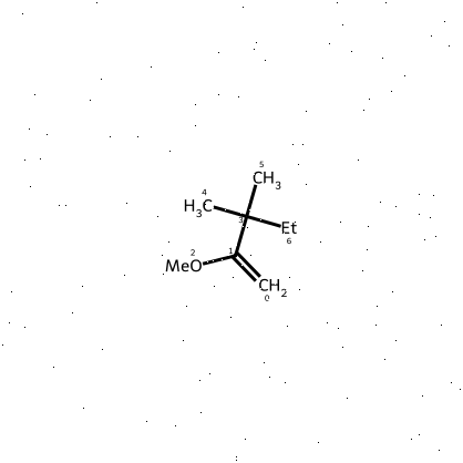 C=C(OC)C(C)(C)CC